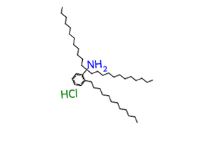 CCCCCCCCCCCCc1ccccc1C(N)(CCCCCCCCCCCC)CCCCCCCCCCCC.Cl